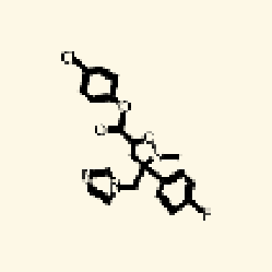 CN1OC(C(=O)Oc2ccc(Cl)cc2)CC1(Cn1ccnc1)c1ccc(F)cc1